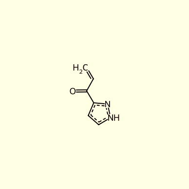 C=CC(=O)c1cc[nH]n1